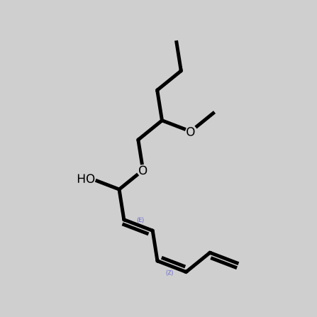 C=C/C=C\C=C\C(O)OCC(CCC)OC